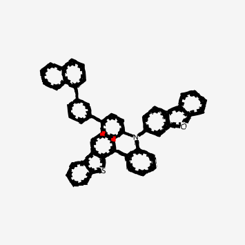 c1cc(-c2ccc(N(c3ccc4c(c3)oc3ccccc34)c3ccccc3-c3cccc4c3sc3ccccc34)cc2)cc(-c2cccc3ccccc23)c1